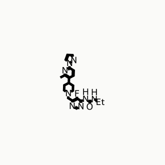 CCNC(=O)Nc1ncnc(CN2CCC(c3ccc(-n4cccn4)nc3C)CC2)c1F